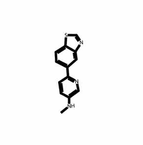 CNc1ccc(-c2ccc3scnc3c2)nc1